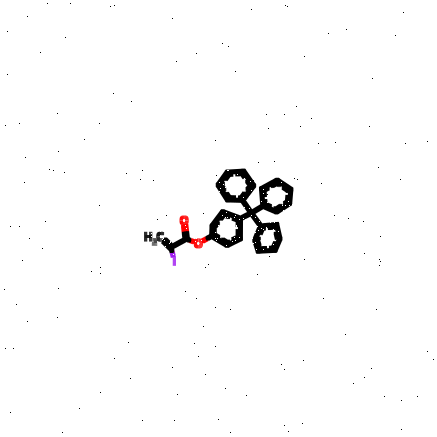 C=C(I)C(=O)Oc1ccc(C(c2ccccc2)(c2ccccc2)c2ccccc2)cc1